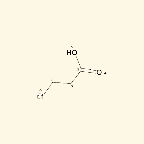 [13CH3]CCCC(=O)O